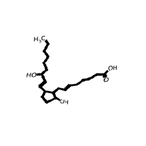 CCCCCCC(O)C=CC1CCC(O)C1CC=CCCCCC(=O)O